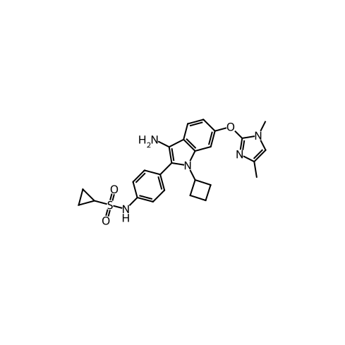 Cc1cn(C)c(Oc2ccc3c(N)c(-c4ccc(NS(=O)(=O)C5CC5)cc4)n(C4CCC4)c3c2)n1